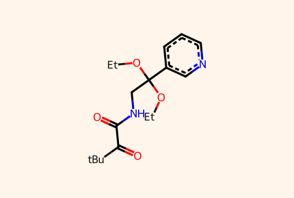 CCOC(CNC(=O)C(=O)C(C)(C)C)(OCC)c1cccnc1